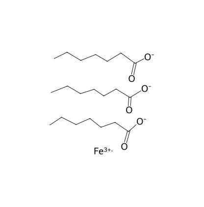 CCCCCCC(=O)[O-].CCCCCCC(=O)[O-].CCCCCCC(=O)[O-].[Fe+3]